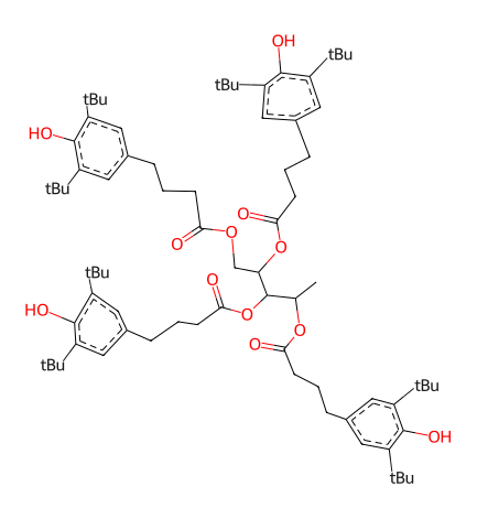 CC(OC(=O)CCCc1cc(C(C)(C)C)c(O)c(C(C)(C)C)c1)C(OC(=O)CCCc1cc(C(C)(C)C)c(O)c(C(C)(C)C)c1)C(COC(=O)CCCc1cc(C(C)(C)C)c(O)c(C(C)(C)C)c1)OC(=O)CCCc1cc(C(C)(C)C)c(O)c(C(C)(C)C)c1